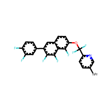 CCCc1ccc(C(F)(F)Oc2ccc3cc(-c4ccc(F)c(F)c4)c(F)c(F)c3c2F)nc1